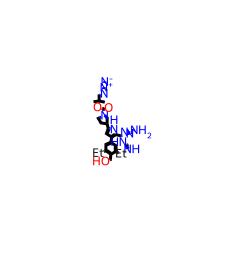 CCc1cc(-c2cc(C3CCN(C(=O)OC(C)(C)CN=[N+]=[N-])C3)[nH]c2C(N=NN)NC=N)cc(CC)c1CO